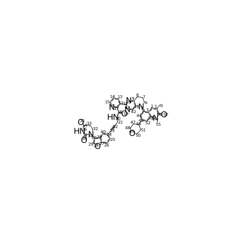 Cc1cc2c(N3CCCc4nc(-c5cccnc5C(=O)NCC#Cc5ccc6occ(N7CCC(=O)NC7=O)c6c5)ncc43)cc(C3CCOCC3)cc2n(C)c1=O